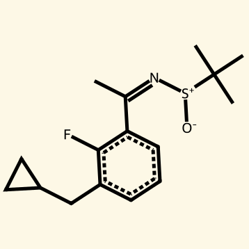 C/C(=N/[S+]([O-])C(C)(C)C)c1cccc(CC2CC2)c1F